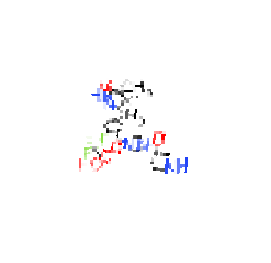 Cc1c(Cc2ccc(F)c(C(=O)N3CCN(C(=O)C4CCCNC4)CC3)c2)n[nH]c(=O)c1C.O=C(O)C(F)(F)F